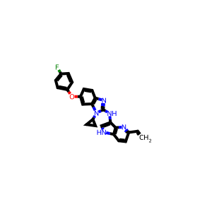 C=Cc1ccc2[nH]cc(Nc3nc4ccc(Oc5ccc(F)cc5)cc4n3C3CC3)c2n1